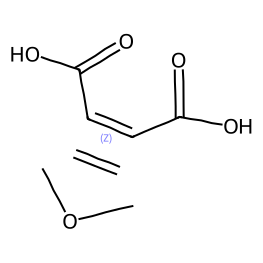 C=C.COC.O=C(O)/C=C\C(=O)O